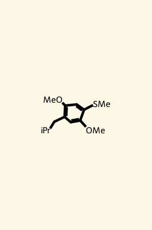 COc1cc(SC)c(OC)cc1CC(C)C